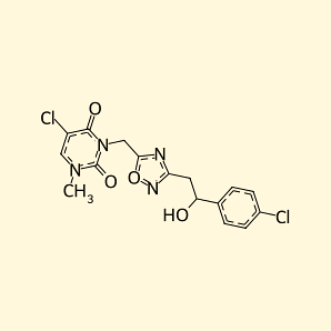 Cn1cc(Cl)c(=O)n(Cc2nc(CC(O)c3ccc(Cl)cc3)no2)c1=O